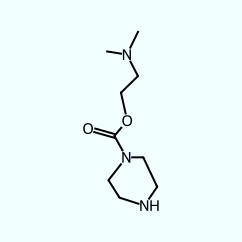 CN(C)CCOC(=O)N1CCNCC1